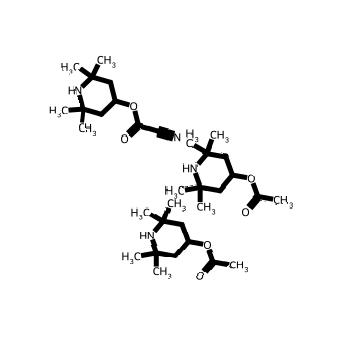 CC(=O)OC1CC(C)(C)NC(C)(C)C1.CC(=O)OC1CC(C)(C)NC(C)(C)C1.CC1(C)CC(OC(=O)C#N)CC(C)(C)N1